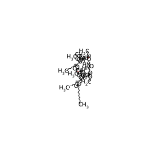 C=CCOP(OCCNC(=O)NCCOP(OCC=C)OC[C@@H](COCC[C@@H](CCCCCCC)OC(=O)CCCCCCCCCCC)NC(=O)OC(C)(C)C)OC[C@@H](COCC[C@@H](CCCCCCC)OC(C)=O)NC(=O)OC(C)(C)C